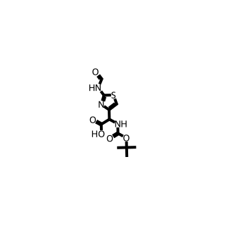 CC(C)(C)OC(=O)NC(C(=O)O)c1csc(NC=O)n1